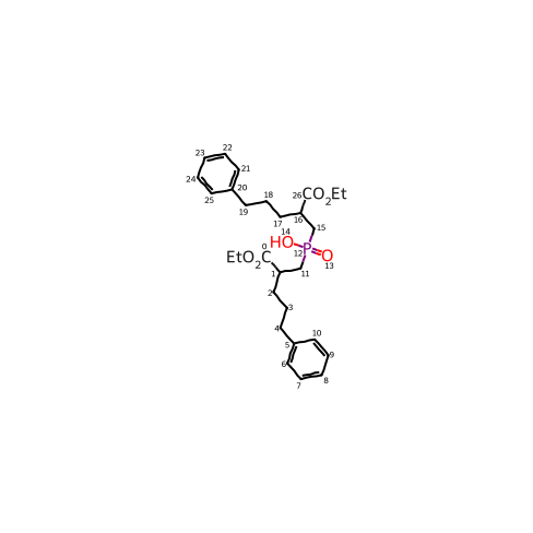 CCOC(=O)C(CCCc1ccccc1)CP(=O)(O)CC(CCCc1ccccc1)C(=O)OCC